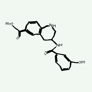 COC(=O)c1ccc2c(c1)CC(NC(=O)c1cccc(OC)c1)CN2